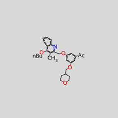 CCCCOc1c(C)c(COc2cc(OCC3CCOCC3)cc(C(C)=O)c2)nc2ccccc12